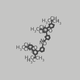 CC(C)(C)c1ccc2oc3c(-c4cccc(-c5nnc(-c6cccc(-c7cc(C(C)(C)C)cc8c7oc7ccc(C(C)(C)C)cc78)c6)o5)c4)cc(C(C)(C)C)cc3c2c1